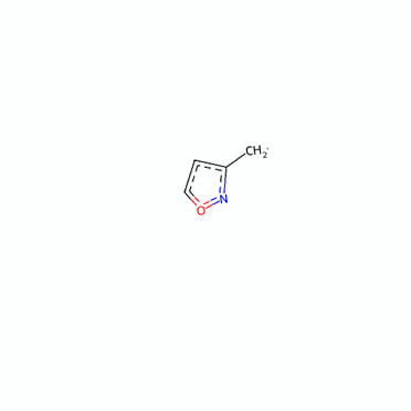 [CH2]c1ccon1